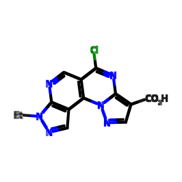 CCn1ncc2c1ncc1c(Cl)nc3c(C(=O)O)cnn3c12